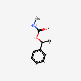 CCC(OC(=O)NC(C)(C)C)c1ccccc1